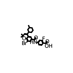 CC1CCCC(C2=CC(C)(C)Oc3c(Br)cc(C(=O)Nc4ccc(C(=O)O)c(F)c4)cc32)C1